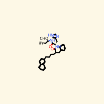 CC(C)C[C@@H](C=O)NC(=O)[C@H](Cc1c[nH]cn1)NC(=O)C(CCCCc1ccc2ccccc2c1)Cc1ccccc1